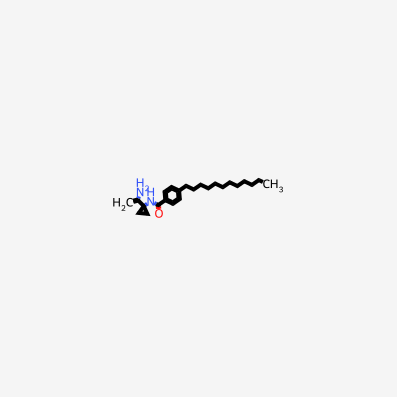 C=C(N)C1(NC(=O)c2ccc(CCCCCCCCCCCC)cc2)CC1